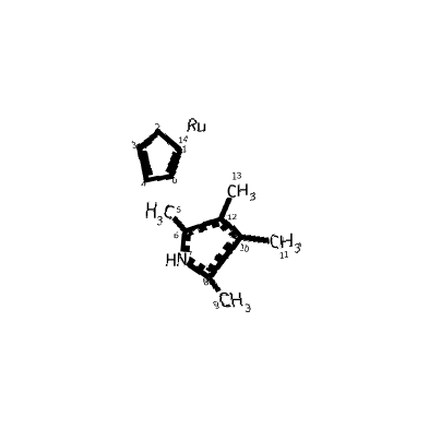 C1=CCC=C1.Cc1[nH]c(C)c(C)c1C.[Ru]